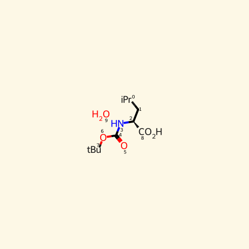 CC(C)C[C@H](NC(=O)OC(C)(C)C)C(=O)O.O